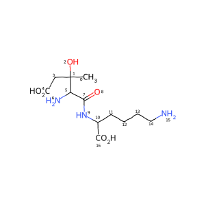 CC(O)(CC(=O)O)C(N)C(=O)NC(CCCCN)C(=O)O